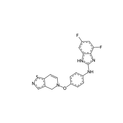 Fc1cc(F)c2nc(Nc3ccc(ON4C=Cc5sncc5C4)cc3)[nH]c2c1